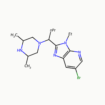 CCCC(c1nc2cc(Br)cnc2n1CC)N1CC(C)NC(C)C1